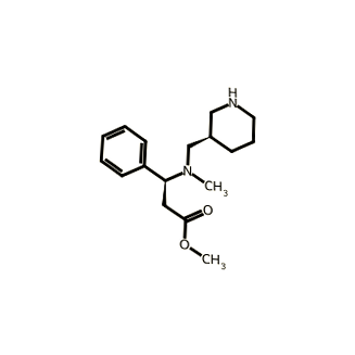 COC(=O)C[C@@H](c1ccccc1)N(C)C[C@@H]1CCCNC1